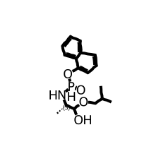 CC(C)COC(O)[C@H](C)N[PH](=O)Oc1cccc2ccccc12